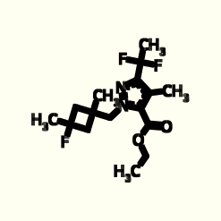 CCOC(=O)c1c(C)c(C(C)(F)F)nn1CC1(C)CC(C)(F)C1